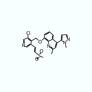 Cc1cc(-c2ccnn2C)c2cccc(OCc3c(Cl)cncc3C=CS(C)(=O)=O)c2n1